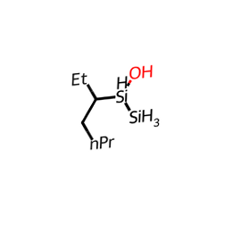 CCCCC(CC)[SiH](O)[SiH3]